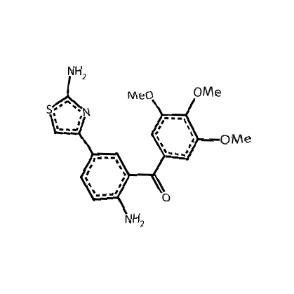 COc1cc(C(=O)c2cc(-c3csc(N)n3)ccc2N)cc(OC)c1OC